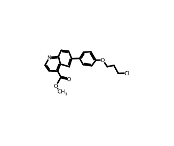 COC(=O)c1ccnc2ccc(-c3ccc(OCCCCl)cc3)cc12